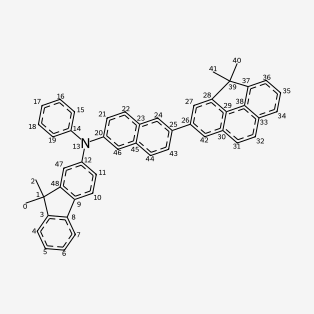 CC1(C)c2ccccc2-c2ccc(N(c3ccccc3)c3ccc4cc(-c5cc6c7c(ccc8cccc(c87)C6(C)C)c5)ccc4c3)cc21